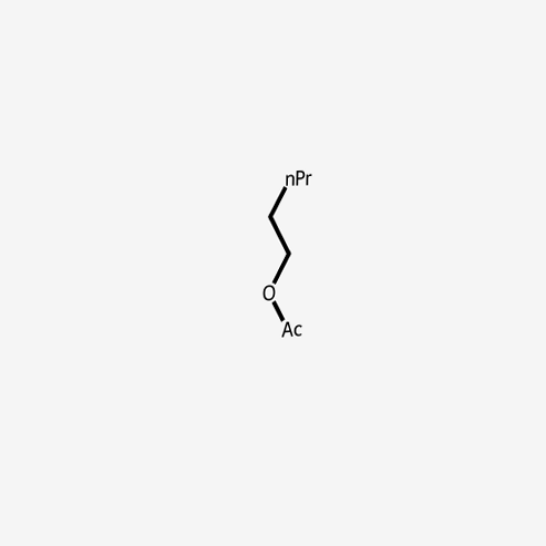 [CH]C(=O)OCCCCC